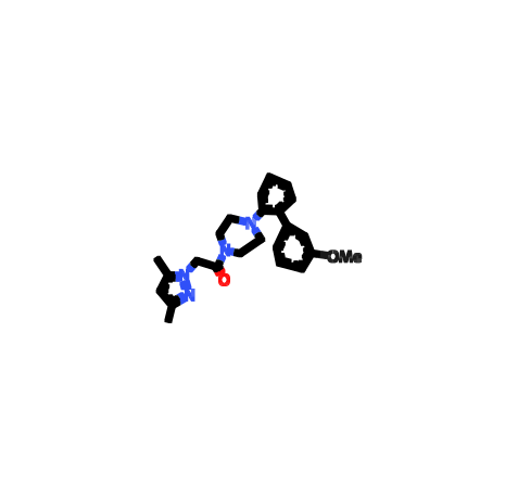 COc1cccc(-c2ccccc2N2CCN(C(=O)Cn3nc(C)cc3C)CC2)c1